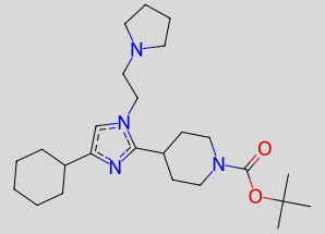 CC(C)(C)OC(=O)N1CCC(c2nc(C3CCCCC3)cn2CCN2CCCC2)CC1